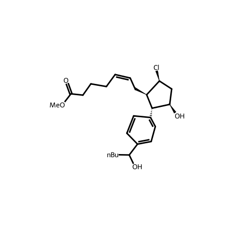 CCCCC(O)c1ccc([C@@H]2[C@@H](C/C=C\CCCC(=O)OC)[C@@H](Cl)C[C@H]2O)cc1